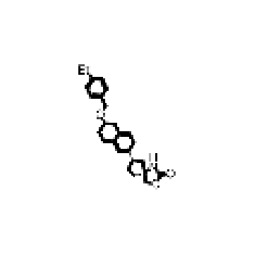 CCc1ccc(CO[C@@H]2CCC3=CC([C@H]4CC[C@]5(COC(=O)N5)C4)CC=C3C2)cc1